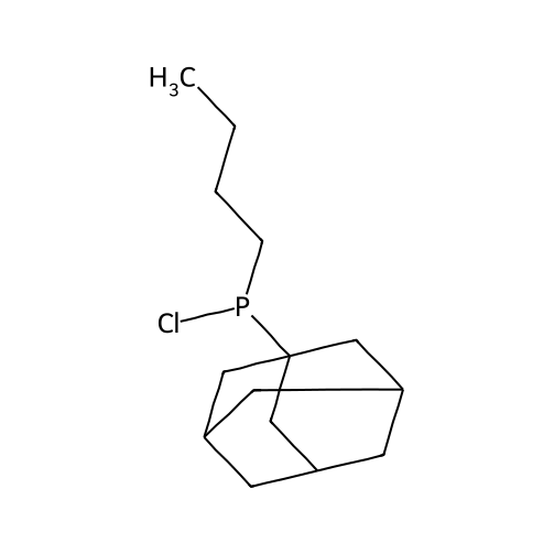 CCCCP(Cl)C12CC3CC(CC(C3)C1)C2